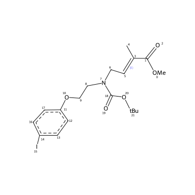 COC(=O)/C(C)=C/CN(CCOc1ccc(I)cc1)C(=O)OC(C)(C)C